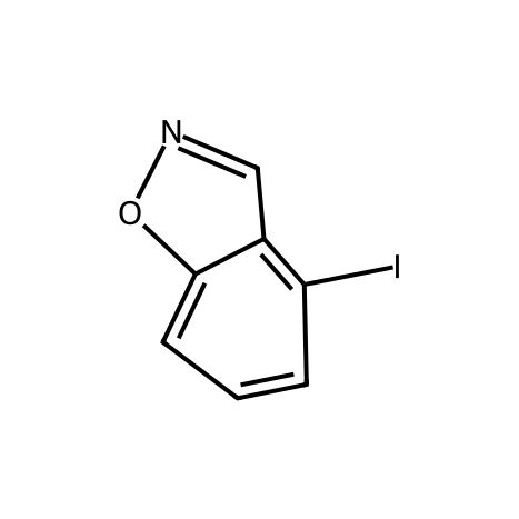 Ic1cccc2oncc12